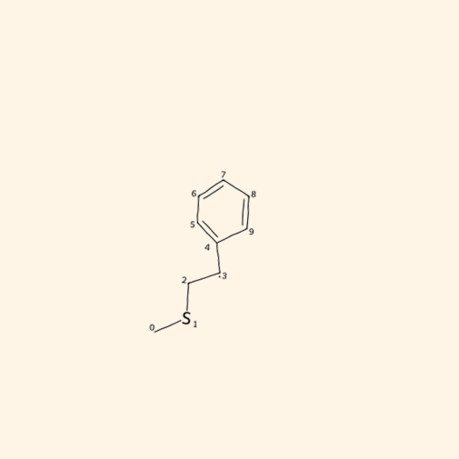 CSC[CH]c1ccccc1